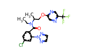 CCN(C(=O)c1ccc(Cl)cc1-n1nccn1)C(C)COc1cnc(C(F)(F)F)cn1